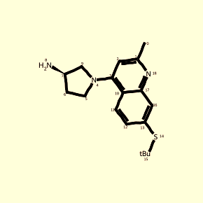 Cc1cc(N2CC[C@@H](N)C2)c2ccc(SC(C)(C)C)cc2n1